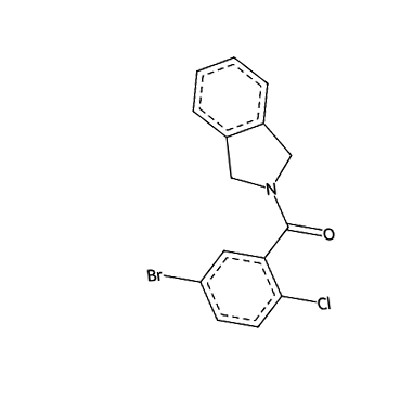 O=C(c1cc(Br)ccc1Cl)N1Cc2ccccc2C1